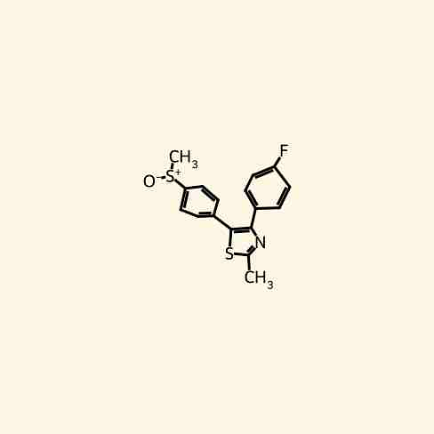 Cc1nc(-c2ccc(F)cc2)c(-c2ccc([S+](C)[O-])cc2)s1